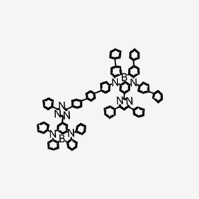 c1ccc(-c2ccc(N3c4ccc(-c5ccccc5)cc4B4c5cc(-c6ccccc6)ccc5N(c5ccc(-c6ccc(-c7ccc(-c8nc(-c9ccccc9)nc(-c9cc%10c%11c(c9)N(c9ccccc9)c9ccccc9B%11c9ccccc9N%10c9ccccc9)n8)cc7)cc6)cc5)c5cc(-c6nc(-c7ccccc7)cc(-c7ccccc7)n6)cc3c54)cc2)cc1